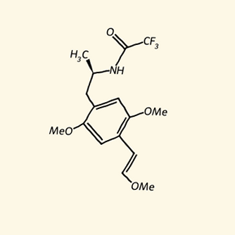 CO/C=C/c1cc(OC)c(C[C@@H](C)NC(=O)C(F)(F)F)cc1OC